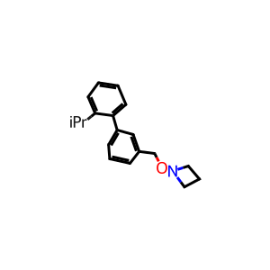 CC(C)c1ccccc1-c1cccc(CON2CCC2)c1